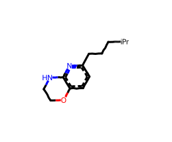 CC(C)CCCc1ccc2c(n1)NCCO2